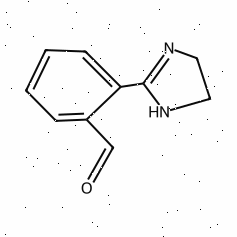 O=Cc1ccccc1C1=NCCN1